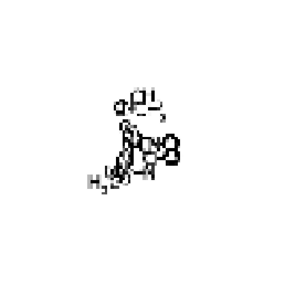 CC(C)N1CCC[C@H]1COc1nc2c(c(N3CCN(S(C)(=O)=O)[C@@H](CC#N)C3)n1)CCN(c1cccc3cccc(Cl)c13)C2